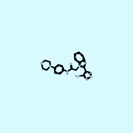 Nc1nonc1-c1nc2ccccc2n1CC(=O)Nc1ccc(N2CCOCC2)cc1